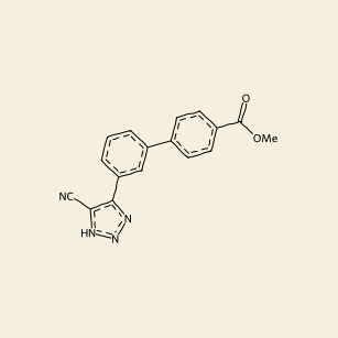 COC(=O)c1ccc(-c2cccc(-c3nn[nH]c3C#N)c2)cc1